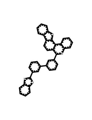 c1cc(-c2cccc(-c3nc4ccccc4c4c3ccc3c5ccccc5sc34)c2)cc(-c2nc3ccccc3s2)c1